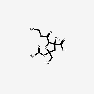 CCOC(=O)C1OC(CC)(OC(C)=O)CC1(C)C(=O)O